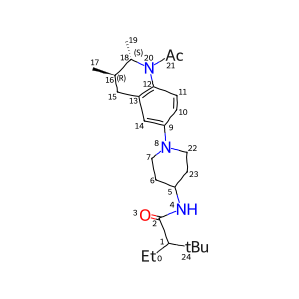 CCC(C(=O)NC1CCN(c2ccc3c(c2)C[C@@H](C)[C@H](C)N3C(C)=O)CC1)C(C)(C)C